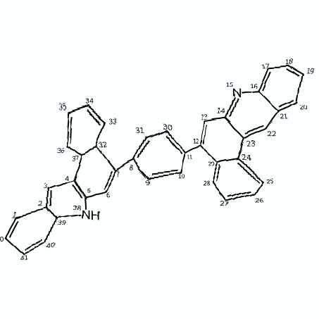 C1=CC2=CC3=C(C=C(c4ccc(-c5cc6nc7ccccc7cc6c6ccccc56)cc4)C4C=CC=CC34)NC2C=C1